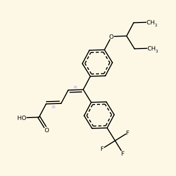 CCC(CC)Oc1ccc(/C(=C/C=C/C(=O)O)c2ccc(C(F)(F)F)cc2)cc1